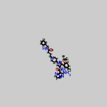 Nc1nn2cccnc2c1C(=O)Nc1cn(C2CCN(CCCC(=O)NCc3ccccc3)CC2)nc1-c1cc(Cl)ccc1OC(F)F